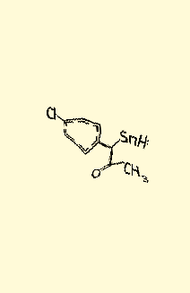 CC(=O)[CH]([SnH])c1ccc(Cl)cc1